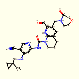 CC1(CNc2cc(NC(=O)N3CCCc4cc(CN5CCOCC5=O)c(C=O)nc43)ncc2C#N)CC1